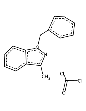 Cc1nn(Cc2ccccc2)c2ccccc12.O=C(Cl)Cl